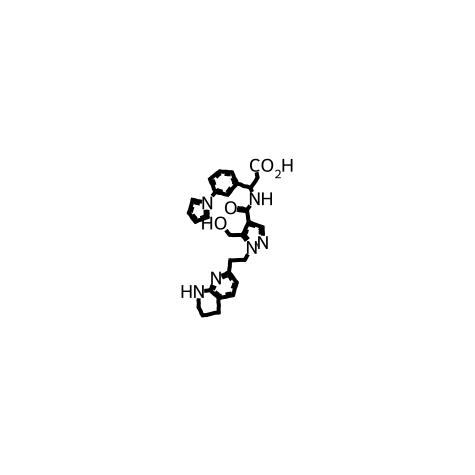 O=C(O)CC(NC(=O)c1cnn(CCc2ccc3c(n2)NCCC3)c1CO)c1cccc(-n2cccc2)c1